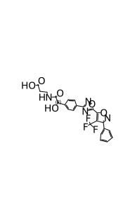 O=C(O)CCNC(=O)[C@H](O)c1ccc(-c2noc(-c3onc(-c4ccccc4)c3C(F)(F)F)n2)cc1